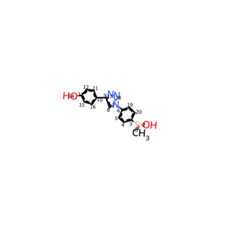 CB(O)c1ccc(-n2cc(-c3ccc(O)cc3)nn2)cc1